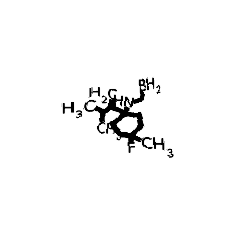 BCNC1(C(=C)C(C)C)CCC(C)(F)CC1